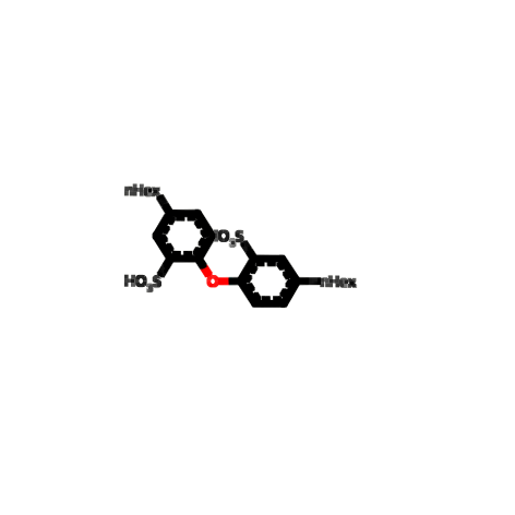 CCCCCCc1ccc(Oc2ccc(CCCCCC)cc2S(=O)(=O)O)c(S(=O)(=O)O)c1